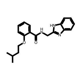 CC(C)CCOc1ccccc1C(=O)NCc1nc2ccccc2[nH]1